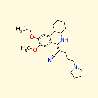 CCOc1cc2c(cc1OC)C(=C(C#N)CCCN1CCCC1)NC1CCCCC21